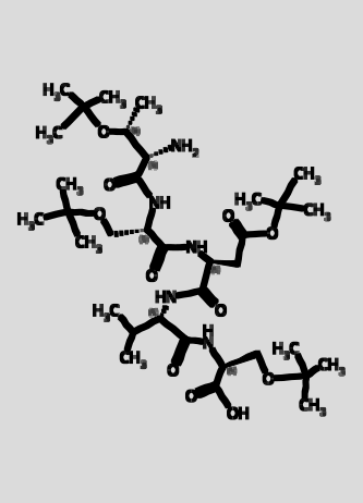 CC(C)[C@H](NC(=O)[C@H](CC(=O)OC(C)(C)C)NC(=O)[C@H](COC(C)(C)C)NC(=O)[C@@H](N)[C@@H](C)OC(C)(C)C)C(=O)N[C@@H](COC(C)(C)C)C(=O)O